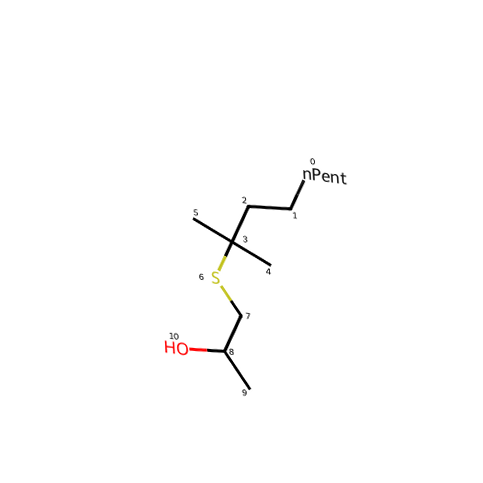 CCCCCCCC(C)(C)SCC(C)O